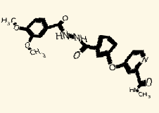 CNC(=O)c1cc(Oc2cccc(C(=O)NNC(=O)c3ccc(OC)c(OC)c3)c2)ccn1